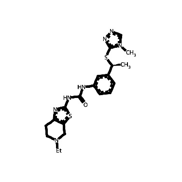 CCN1CCc2nc(NC(=O)Nc3cccc([C@H](C)Sc4nncn4C)c3)sc2C1